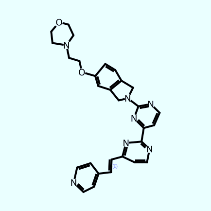 C(=C\c1ccnc(-c2ccnc(N3Cc4ccc(OCCN5CCOCC5)cc4C3)n2)n1)/c1ccncc1